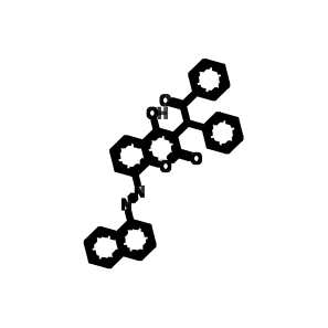 O=C(c1ccccc1)C(c1ccccc1)c1c(O)c2cccc(/N=N/c3cccc4ccccc34)c2oc1=O